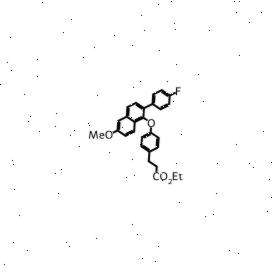 CCOC(=O)CCc1ccc(Oc2c(-c3ccc(F)cc3)ccc3cc(OC)ccc23)cc1